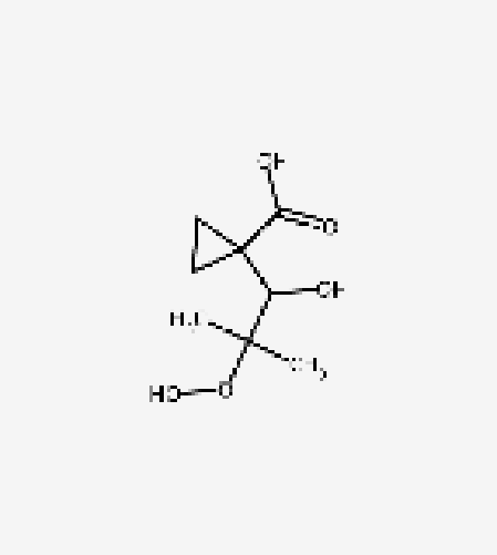 CC(C)(OO)C(O)C1(C(=O)O)CC1